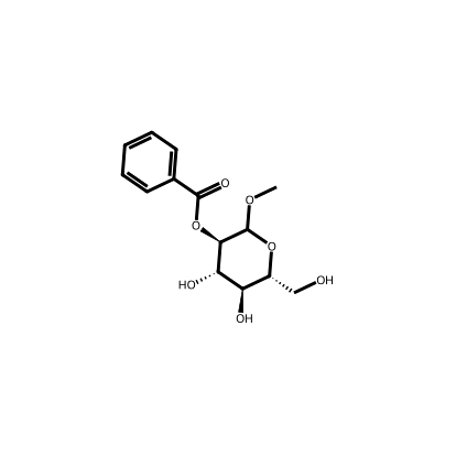 COC1O[C@H](CO)[C@@H](O)[C@H](O)[C@H]1OC(=O)c1ccccc1